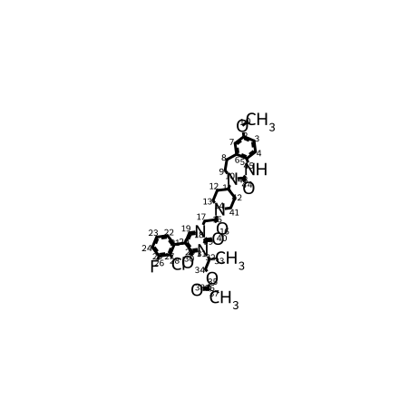 COc1ccc2c(c1)CCN(C1CCN(C(=O)Cn3cc(-c4cccc(F)c4Cl)c(=O)n([C@@H](C)COC(C)=O)c3=O)CC1)C(=O)N2